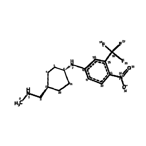 CNC[C@H]1CC[C@H](Nc2ccc([N+](=O)[O-])c(C(F)(F)F)c2)CC1